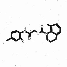 Cc1ccc(NC(=O)COC(=O)N2CCCc3cccc(C)c32)c(Cl)c1